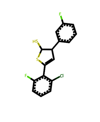 Fc1cccc(C2C=C(c3c(F)cccc3Cl)SC2S)c1